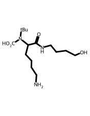 CC(C)(C)N(C(=O)O)C(CCCCN)C(=O)NCCCCO